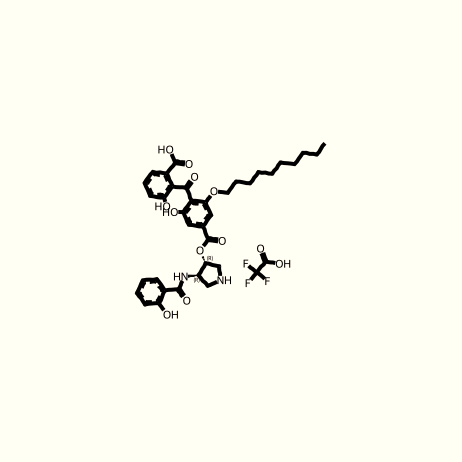 CCCCCCCCCCOc1cc(C(=O)O[C@@H]2CNC[C@H]2NC(=O)c2ccccc2O)cc(O)c1C(=O)c1c(O)cccc1C(=O)O.O=C(O)C(F)(F)F